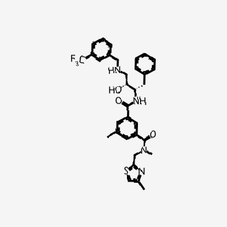 Cc1cc(C(=O)N[C@@H](Cc2ccccc2)[C@H](O)CNCc2cccc(C(F)(F)F)c2)cc(C(=O)N(C)Cc2nc(C)cs2)c1